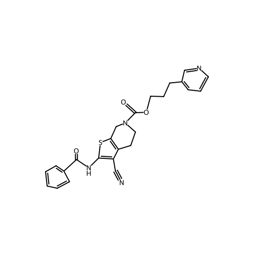 N#Cc1c(NC(=O)c2ccccc2)sc2c1CCN(C(=O)OCCCc1cccnc1)C2